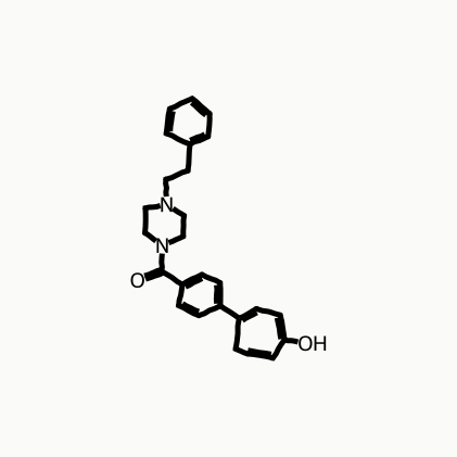 O=C(c1ccc(C2=CC=C(O)C=CC2)cc1)N1CCN(CCc2ccccc2)CC1